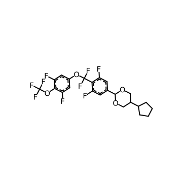 Fc1cc(OC(F)(F)c2c(F)cc(C3OCC(C4CCCC4)CO3)cc2F)cc(F)c1OC(F)(F)F